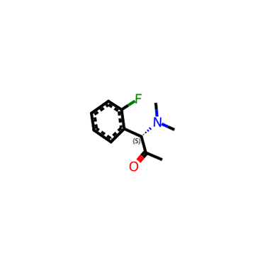 CC(=O)[C@H](c1ccccc1F)N(C)C